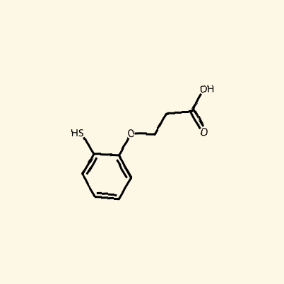 O=C(O)CCOc1ccccc1S